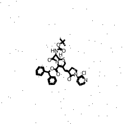 CC(C)(C)OC(=O)N[C@@H]1C(=O)N2C(C(=O)OC(c3ccccc3)c3ccccc3)=C(/C=C3\CCN(c4cccnc4Cl)C3=O)CS[C@H]12